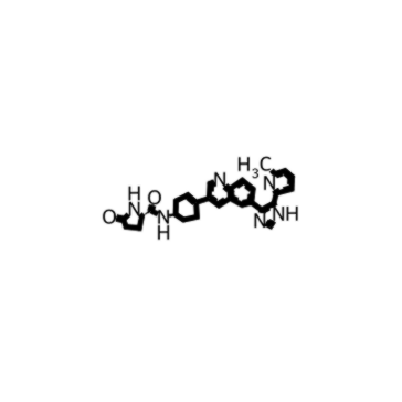 Cc1cccc(-c2[nH]cnc2-c2ccc3ncc(C4=CC[C@H](NC(=O)[C@@H]5CCC(=O)N5)CC4)cc3c2)n1